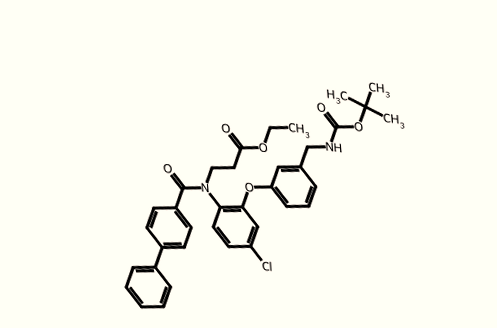 CCOC(=O)CCN(C(=O)c1ccc(-c2ccccc2)cc1)c1ccc(Cl)cc1Oc1cccc(CNC(=O)OC(C)(C)C)c1